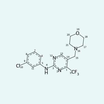 FC(F)(F)c1nc(Nc2cccc(Cl)c2)ncc1CN1CCOCC1